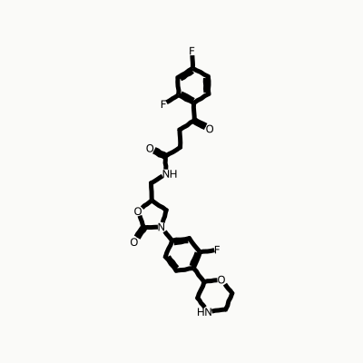 O=C(CCC(=O)c1ccc(F)cc1F)NCC1CN(c2ccc(C3CNCCO3)c(F)c2)C(=O)O1